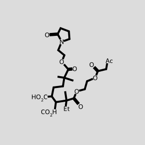 CCC(C)(C(=O)OCCOC(=O)CC(C)=O)C(C(=O)O)C(CCC(C)(C)C(=O)OCCN1CCCC1=O)C(=O)O